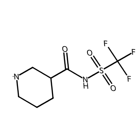 O=C(NS(=O)(=O)C(F)(F)F)C1CCC[N]C1